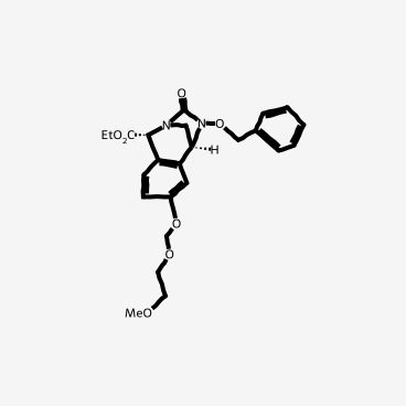 CCOC(=O)[C@H]1c2ccc(OCOCCOC)cc2[C@H]2CN1C(=O)N2OCc1ccccc1